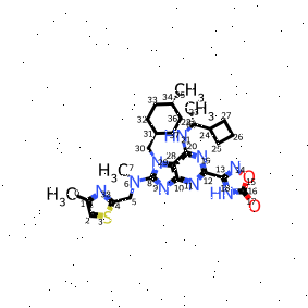 Cc1csc(CN(C)c2nc3nc(-c4noc(=O)[nH]4)nc(N[C@H](C)C4CCC4)c3n2C[C@H]2CC[C@H](C)CC2)n1